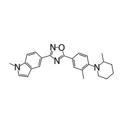 Cc1cc(-c2nc(-c3ccc4c(ccn4C)c3)no2)ccc1N1CCCCC1C